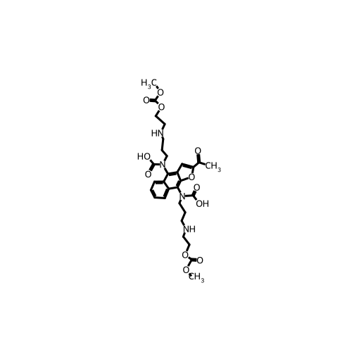 COC(=O)OCCNCCCN(C(=O)O)c1c2ccccc2c(N(CCCNCCOC(=O)OC)C(=O)O)c2oc(C(C)=O)cc12